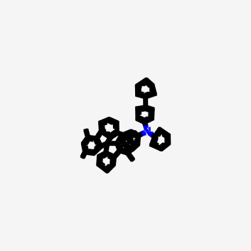 Cc1cc(C)c2c(c1)C1(c3ccccc3-2)c2cc(C)cc(C)c2-c2cccc(-c3cccc(N(c4ccccc4)c4ccc(-c5ccccc5)cc4)c3)c21